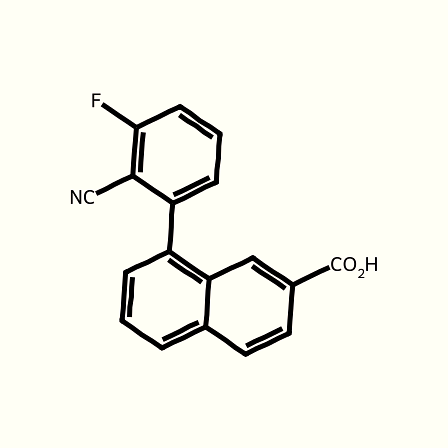 N#Cc1c(F)cccc1-c1cccc2ccc(C(=O)O)cc12